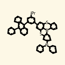 CC(C)c1cc(-c2cc3c4c(c2)Sc2cc(N(c5ccccc5)c5ccccc5)ccc2B4c2ccccc2S3)cc(-c2c3ccccc3c(-c3ccccc3)c3ccccc23)c1